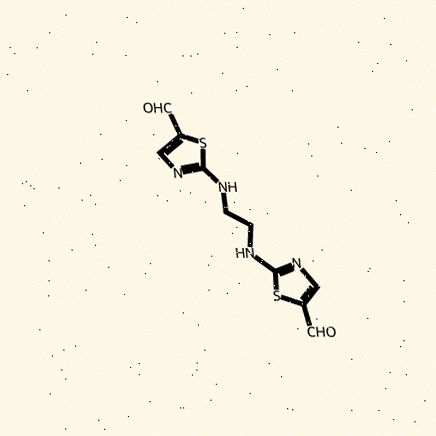 O=Cc1cnc(NCCNc2ncc(C=O)s2)s1